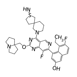 CCc1c(F)ccc2cc(O)cc(-c3ncc4c(N5CCCC6(CCS(=N)C6)C5)nc(OCC56CCCN5CCC6)nc4c3F)c12